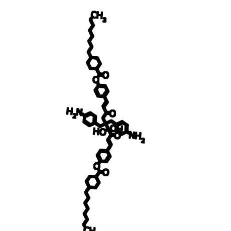 CCCCCCCCC1CCC(C(=O)Oc2ccc(C=CC(=O)CC(Cc3ccc(N)cc3)(Cc3ccc(N)cc3)C(O)(O)C(=O)C=Cc3ccc(OC(=O)C4CCC(CCCCCCCC)CC4)cc3)cc2)CC1